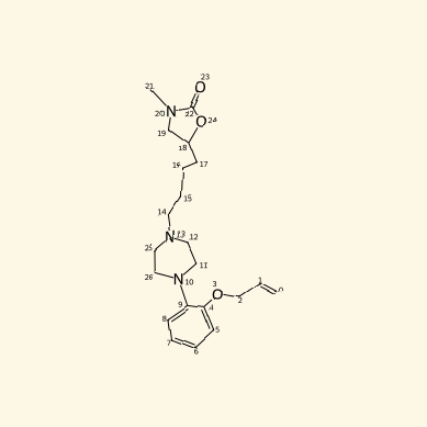 C=CCOc1ccccc1N1CCN(CCCCC2CN(C)C(=O)O2)CC1